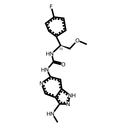 CNc1n[nH]c2cc(NC(=O)N[C@H](COC)c3ccc(F)cc3)ncc12